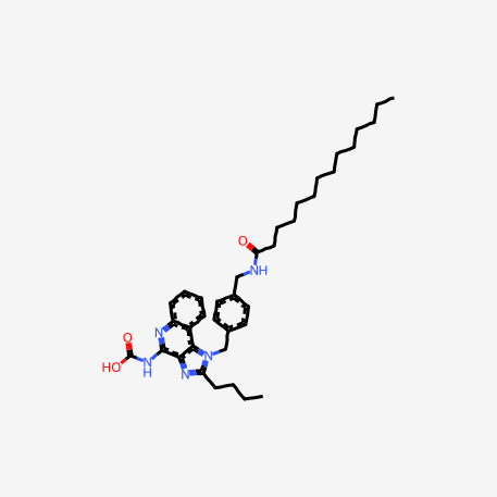 CCCCCCCCCCCCCC(=O)NCc1ccc(Cn2c(CCCC)nc3c(NC(=O)O)nc4ccccc4c32)cc1